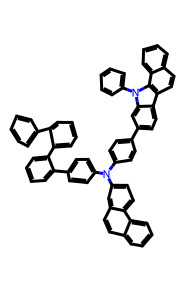 c1ccc(-c2ccccc2-c2ccccc2-c2ccc(N(c3ccc(-c4ccc5c6ccc7ccccc7c6n(-c6ccccc6)c5c4)cc3)c3ccc4c(ccc5ccccc54)c3)cc2)cc1